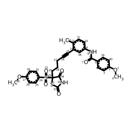 COc1ccc(C(=O)Nc2ccc(C)c(C#CCCCC3(S(=O)(=O)c4ccc(OC)cc4)SC(=O)NC3=O)c2)cc1